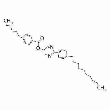 CCCCCCCCCCc1ccc(-c2ncc(OC(=O)c3ccc(CCCCCC)cc3)cn2)cc1